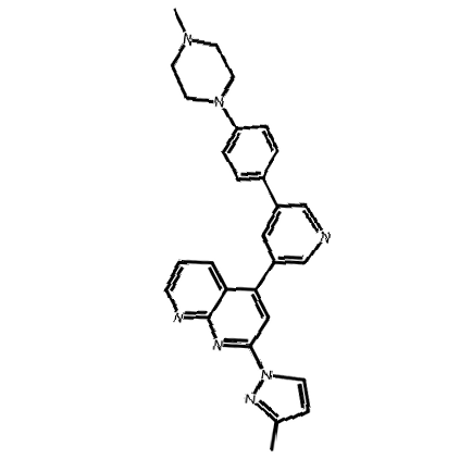 Cc1ccn(-c2cc(-c3cncc(-c4ccc(N5CCN(C)CC5)cc4)c3)c3cccnc3n2)n1